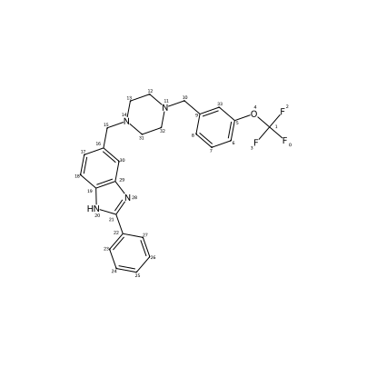 FC(F)(F)Oc1cccc(CN2CCN(Cc3ccc4[nH]c(-c5ccccc5)nc4c3)CC2)c1